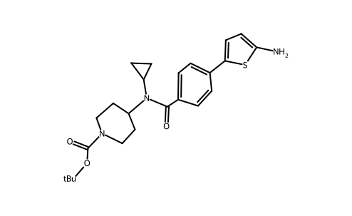 CC(C)(C)OC(=O)N1CCC(N(C(=O)c2ccc(-c3ccc(N)s3)cc2)C2CC2)CC1